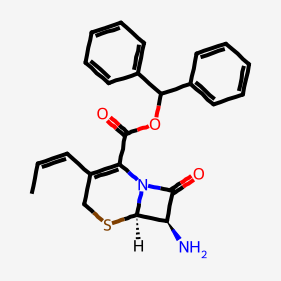 C/C=C\C1=C(C(=O)OC(c2ccccc2)c2ccccc2)N2C(=O)[C@@H](N)[C@H]2SC1